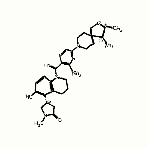 C[C@@H]1OCC2(CCN(c3cnc(C(=N)N4CCCc5c4ccc(C#N)c5[C@@H]4CC(=O)N(C)C4)c(N)n3)CC2)[C@@H]1N